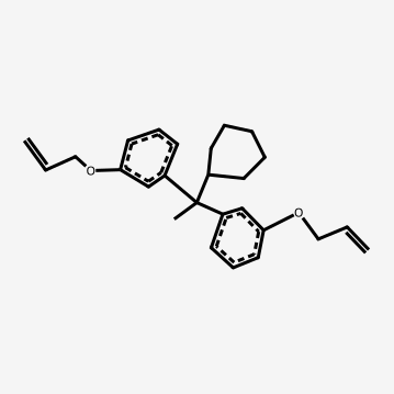 C=CCOc1cccc(C(C)(c2cccc(OCC=C)c2)C2CCCCC2)c1